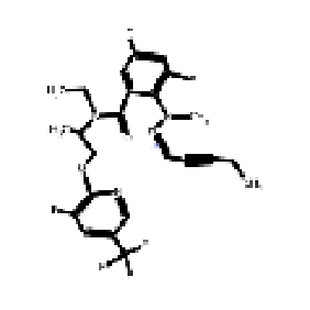 CCC#C/C=N\N(C)c1c(F)cc(F)cc1C(=O)N(CC)C(C)COc1ncc(C(F)(F)F)cc1F